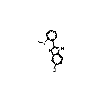 CSc1ccccc1-c1nc2cc(Cl)ccc2[nH]1